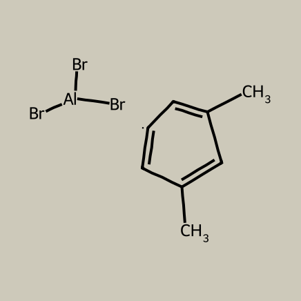 Cc1c[c]cc(C)c1.[Br][Al]([Br])[Br]